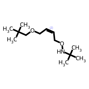 CC(C)(C)COC/C=C\CONC(C)(C)C